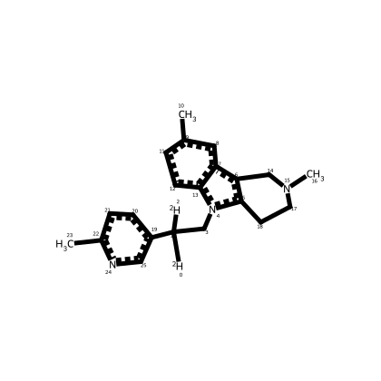 [2H]C([2H])(Cn1c2c(c3cc(C)ccc31)CN(C)CC2)c1ccc(C)nc1